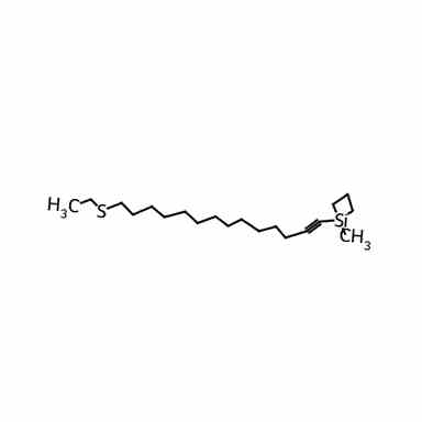 CCSCCCCCCCCCCCCC#C[Si]1(C)CCC1